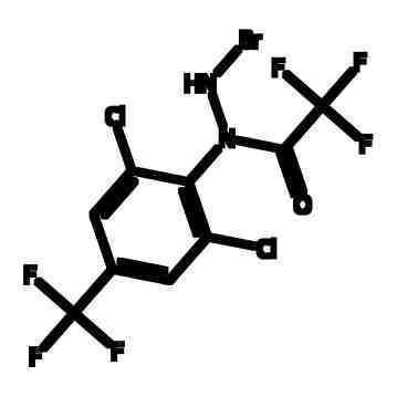 O=C(N(NBr)c1c(Cl)cc(C(F)(F)F)cc1Cl)C(F)(F)F